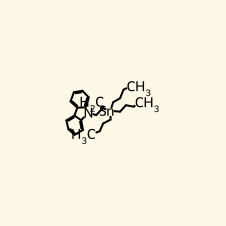 C=[C](Cn1c2ccccc2c2ccccc21)[Sn]([CH2]CCC)([CH2]CCC)[CH2]CCC